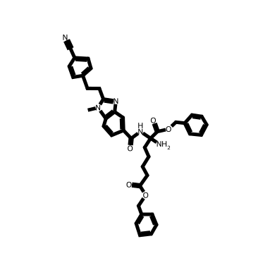 Cn1c(CCc2ccc(C#N)cc2)nc2cc(C(=O)NC(N)(CCCCC(=O)OCc3ccccc3)C(=O)OCc3ccccc3)ccc21